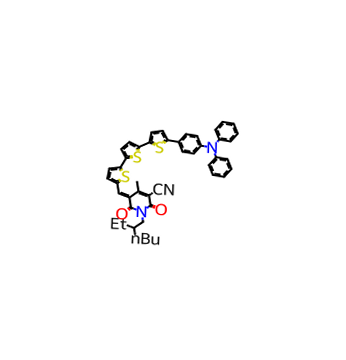 CCCCC(CC)CN1C(=O)C(=Cc2ccc(-c3ccc(-c4ccc(-c5ccc(N(c6ccccc6)c6ccccc6)cc5)s4)s3)s2)C(C)=C(C#N)C1=O